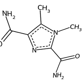 Cc1c(C(N)=O)nc(C(N)=O)n1C